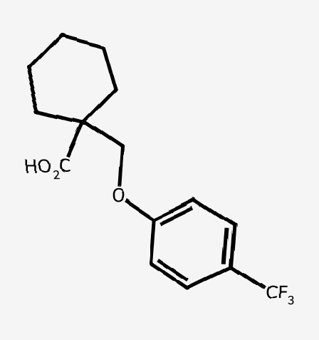 O=C(O)C1(COc2ccc(C(F)(F)F)cc2)CCCCC1